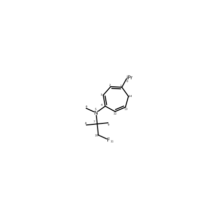 CC(C)C1=CC=C(N(C)C(C)(C)CF)C=CC1